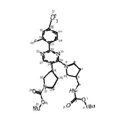 CC(C)(C)OC(=O)NCC1CCN(c2nc(-c3ccc(C(F)(F)F)cc3F)ncc2C2CCN(C(=O)OC(C)(C)C)C2)C1